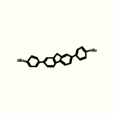 CCCCc1ccc(-c2ccc3c(c2)Cc2cc(-c4ccc(CCCC)cc4)ccc2-3)cc1